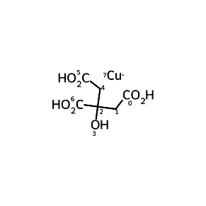 O=C(O)CC(O)(CC(=O)O)C(=O)O.[Cu]